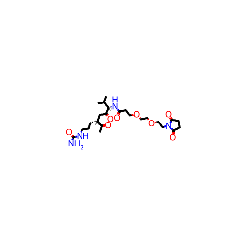 CC(=O)[C@H](CCCNC(N)=O)CC(=O)[C@@H](NC(=O)CCOCCOCCN1C(=O)CCC1=O)C(C)C